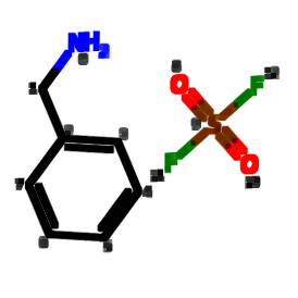 NCc1ccccc1.O=S(=O)(F)F